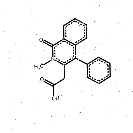 Cn1c(CC(=O)O)c(-c2ccccc2)c2ccccc2c1=O